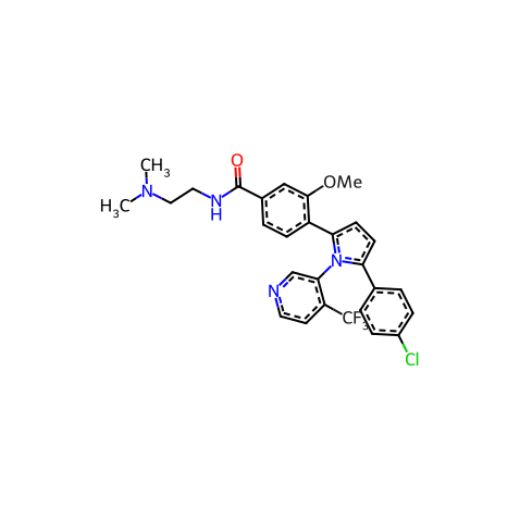 COc1cc(C(=O)NCCN(C)C)ccc1-c1ccc(-c2ccc(Cl)cc2)n1-c1cnccc1C(F)(F)F